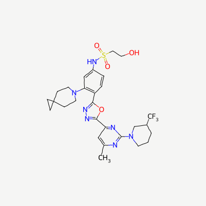 Cc1cc(-c2nnc(-c3ccc(NS(=O)(=O)CCO)cc3N3CCC4(CC3)CC4)o2)nc(N2CCCC(C(F)(F)F)C2)n1